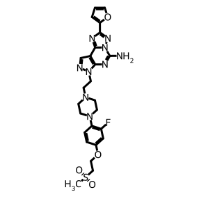 CS(=O)(=O)CCOc1ccc(N2CCN(CCn3ncc4c3nc(N)n3nc(-c5ccco5)nc43)CC2)c(F)c1